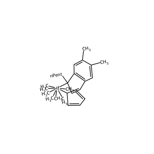 CCCCC[C]1([Hf]([CH3])([CH3])([CH3])([CH3])([CH3])([CH3])([CH3])[CH]2C=CC=C2)C=Cc2cc(C)c(C)cc21